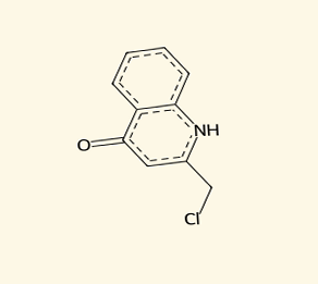 O=c1cc(CCl)[nH]c2ccccc12